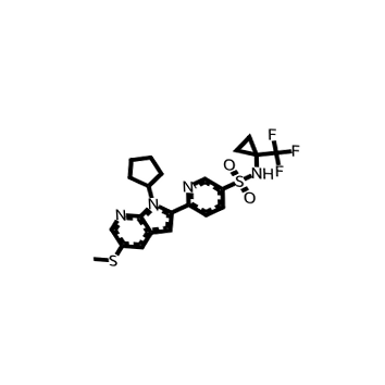 CSc1cnc2c(c1)cc(-c1ccc(S(=O)(=O)NC3(C(F)(F)F)CC3)cn1)n2C1CCCC1